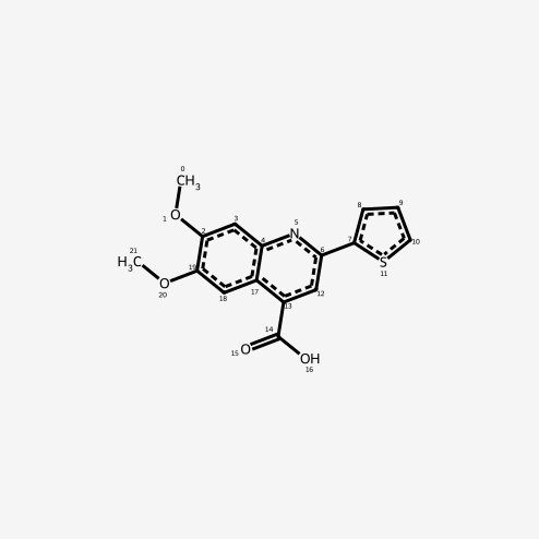 COc1cc2nc(-c3cccs3)cc(C(=O)O)c2cc1OC